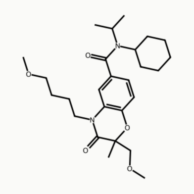 COCCCCN1C(=O)C(C)(COC)Oc2ccc(C(=O)N(C(C)C)C3CCCCC3)cc21